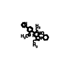 COc1cc(-n2cccn2)ccc1-c1nc2c(C)cn(C3CCCC[C@@H]3O)c2nc1C